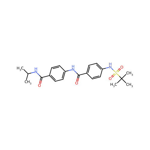 CC(C)NC(=O)c1ccc(NC(=O)c2ccc(NS(=O)(=O)C(C)(C)C)cc2)cc1